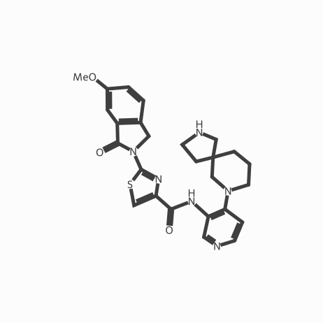 COc1ccc2c(c1)C(=O)N(c1nc(C(=O)Nc3cnccc3N3CCCC4(CCNC4)C3)cs1)C2